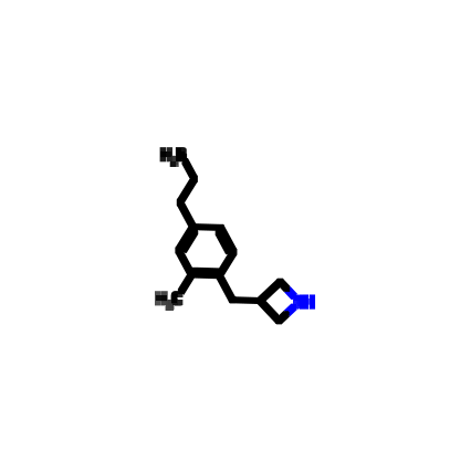 BCCc1ccc(CC2CNC2)c(C)c1